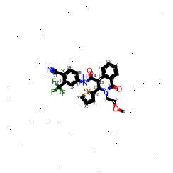 COCCN1C(=O)c2ccccc2C(C(=O)Nc2ccc(C#N)c(C(F)(F)F)c2)C1c1cccs1